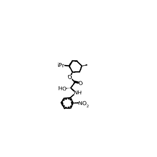 CC(C)C1CC[C@@H](C)C[C@H]1OC(=O)[C@@H](O)Nc1ccccc1[N+](=O)[O-]